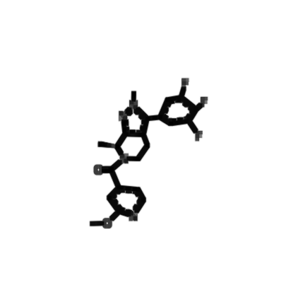 COc1cc(C(=O)N2CCc3c(nn(C)c3-c3cc(F)c(F)c(F)c3)[C@@H]2C)ccn1